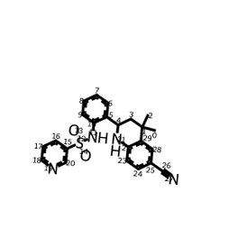 CC1(C)CC(c2ccccc2NS(=O)(=O)c2cccnc2)Nc2ccc(C#N)cc21